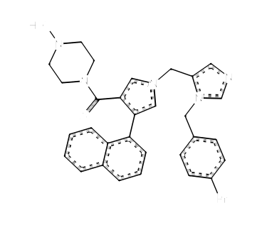 CN1CCN(C(=O)c2cn(Cc3cncn3Cc3ccc(Br)cc3)cc2-c2cccc3ccccc23)CC1